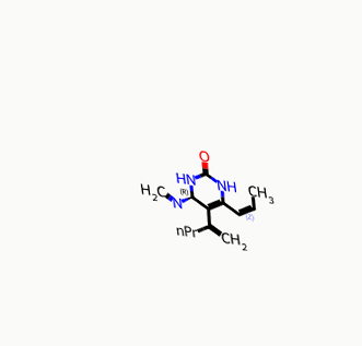 C=N[C@H]1NC(=O)NC(/C=C\C)=C1C(=C)CCC